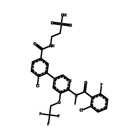 CN(C(=O)c1c(F)cccc1Cl)c1ncc(-c2cc(C(=O)NCCS(=O)(=O)O)ccc2Cl)cc1OCC(F)(F)F